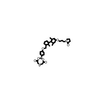 Cc1cc(OCCCN2CCCC2=O)cc(C)c1-c1cccc(COc2ccc(B3OC(=O)CN(C)CC(=O)O3)cc2)c1C